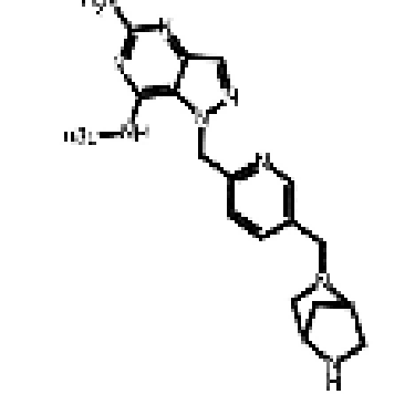 CCCCNc1nc(N)nc2cnn(Cc3ccc(CN4CC5CC4CN5)cn3)c12